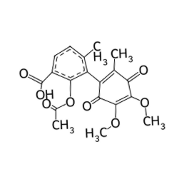 COC1=C(OC)C(=O)C(c2c(C)ccc(C(=O)O)c2OC(C)=O)=C(C)C1=O